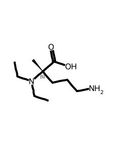 CCN(CC)[C@@](C)(CCCN)C(=O)O